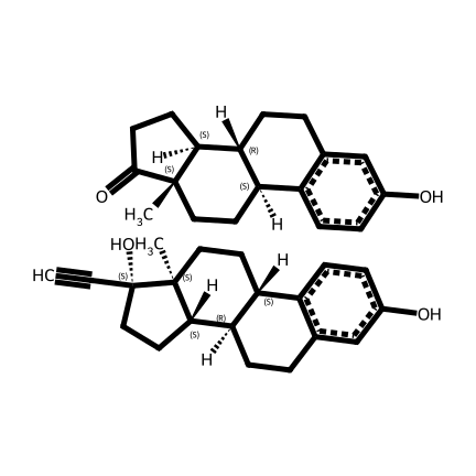 C#C[C@]1(O)CC[C@H]2[C@@H]3CCc4cc(O)ccc4[C@H]3CC[C@@]21C.C[C@]12CC[C@@H]3c4ccc(O)cc4CC[C@H]3[C@@H]1CCC2=O